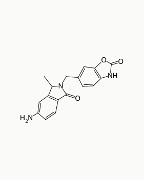 CC1c2cc(N)ccc2C(=O)N1Cc1ccc2[nH]c(=O)oc2c1